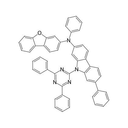 c1ccc(-c2ccc3c4ccc(N(c5ccccc5)c5ccc6c(c5)oc5ccccc56)cc4n(-c4nc(-c5ccccc5)nc(-c5ccccc5)n4)c3c2)cc1